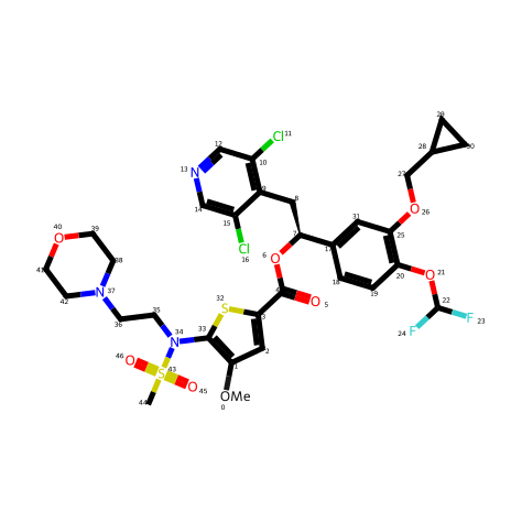 COc1cc(C(=O)O[C@@H](Cc2c(Cl)cncc2Cl)c2ccc(OC(F)F)c(OCC3CC3)c2)sc1N(CCN1CCOCC1)S(C)(=O)=O